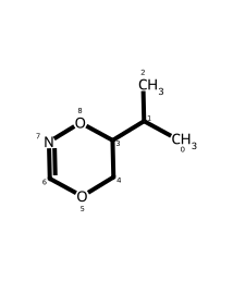 CC(C)C1COC=NO1